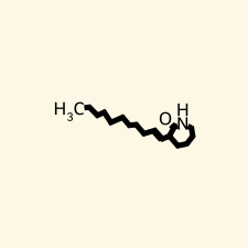 CCCCCCCCCC=CC1CCCCNC1=O